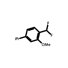 COc1cc(C(C)C)ccc1C(F)F